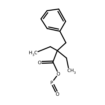 CCC(CC)(Cc1ccccc1)C(=O)OP=O